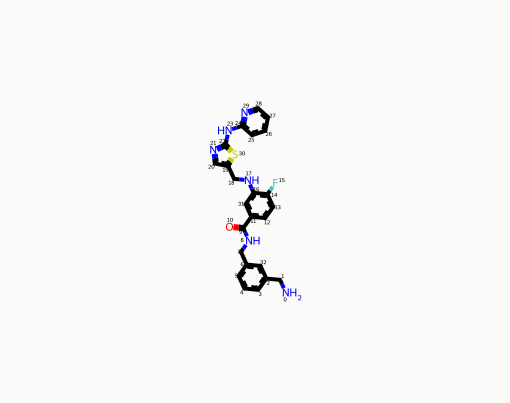 NCc1cccc(CNC(=O)c2ccc(F)c(NCc3cnc(Nc4ccccn4)s3)c2)c1